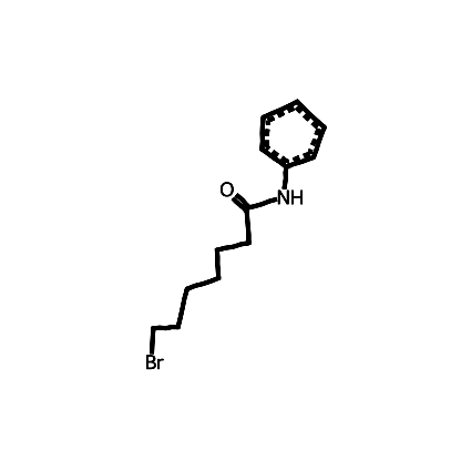 O=C(CCCCCCBr)Nc1ccccc1